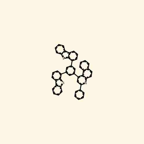 c1ccc(-c2cc(-c3cc(-c4cccc5c4sc4ccccc45)cc(-c4cccc5c4sc4ccccc45)c3)c3c(ccc4ccccc43)n2)cc1